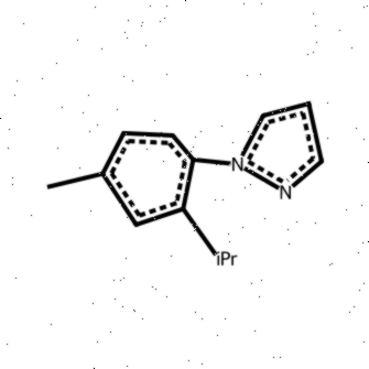 Cc1ccc(-n2cccn2)c(C(C)C)c1